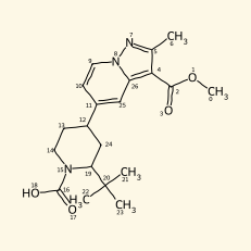 COC(=O)c1c(C)nn2ccc(C3CCN(C(=O)O)C(C(C)(C)C)C3)cc12